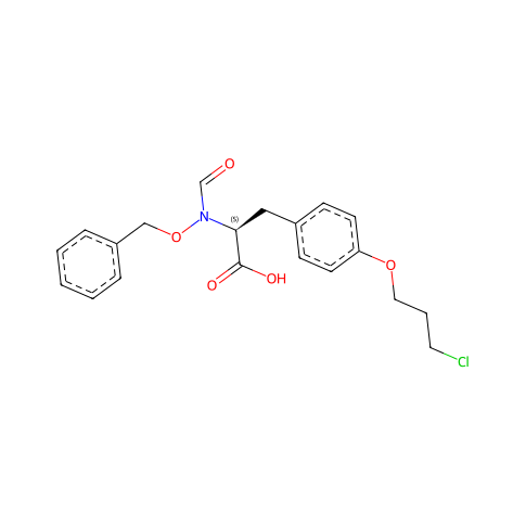 O=CN(OCc1ccccc1)[C@@H](Cc1ccc(OCCCCl)cc1)C(=O)O